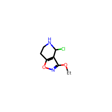 CCOc1noc2c1C(Cl)NCC2